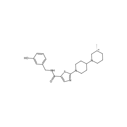 C[C@@H]1CCCN(C2CCN(c3ncc(C(=O)NCc4cccc(O)c4)s3)CC2)C1